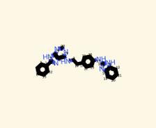 c1ccc(-c2nc3c(NCCc4ccc(Nc5nc6ccccc6[nH]5)cc4)ncnc3[nH]2)cc1